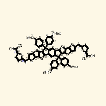 [C-]#[N+]/C(C#N)=c1/cc/c(=C/c2cc3sc4c5c(sc4c3s2)-c2cc3c(cc2C5(c2ccc(CCCCCC)cc2)c2ccc(CCCCCC)cc2)-c2sc4c(sc5cc(/C=c6/cc/c(=C(/C#N)[N+]#[C-])s6)sc54)c2C3(c2ccc(CCCCCC)cc2)c2ccc(CCCCCC)cc2)s1